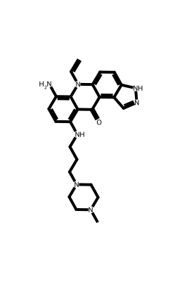 C=Cn1c2ccc3[nH]ncc3c2c(=O)c2c(NCCCN3CCN(C)CC3)ccc(N)c21